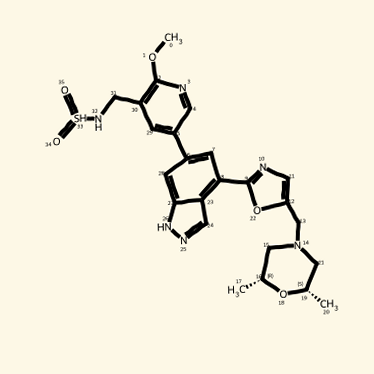 COc1ncc(-c2cc(-c3ncc(CN4C[C@@H](C)O[C@@H](C)C4)o3)c3cn[nH]c3c2)cc1CN[SH](=O)=O